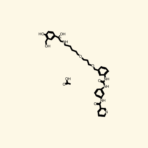 CC(=O)O.O=C(Nc1cccc(COCCCOCCCCCNC[C@H](O)c2ccc(O)c(CO)c2)c1)Nc1cccc(NC(=O)c2cccnc2)c1